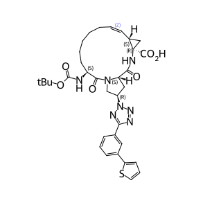 CC(C)(C)OC(=O)N[C@H]1CCCCC/C=C\[C@@H]2C[C@@]2(C(=O)O)NC(=O)[C@@H]2C[C@@H](n3nnc(-c4cccc(-c5cccs5)c4)n3)CN2C1=O